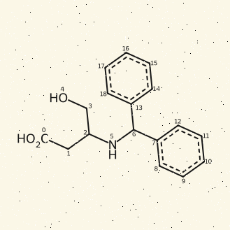 O=C(O)CC(CO)NC(c1ccccc1)c1ccccc1